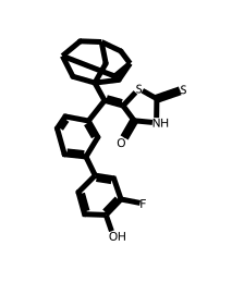 O=C1NC(=S)SC1=C(c1cccc(-c2ccc(O)c(F)c2)c1)C12CC3CC(CC(C3)C1)C2